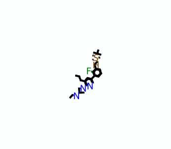 CCCc1cc(-c2cccc(CC[SH](C)(C)(C)C(C)(C)C)c2F)cnc1N1CC(=NCC)C1